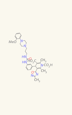 COc1ccccc1N1CCN(CCCNC(=O)Nc2cccc(C3C(C(=O)O)=C(C)N(C(=O)O)C(C)=C3c3nc(C)no3)c2)CC1